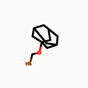 SCOC12CC3CC(CC(C3)C1)C2